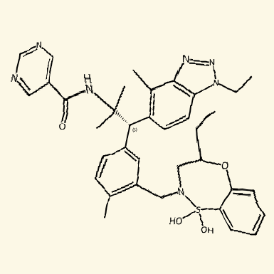 CCC1CN(Cc2cc([C@@H](c3ccc4c(nnn4CC)c3C)C(C)(C)NC(=O)c3cncnc3)ccc2C)S(O)(O)c2ccccc2O1